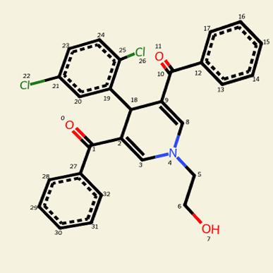 O=C(C1=CN(CCO)C=C(C(=O)c2ccccc2)C1c1cc(Cl)ccc1Cl)c1ccccc1